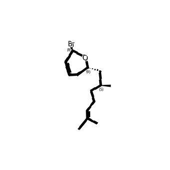 CC(C)=CCC[C@H](C)C[C@@H]1CC=C[C@@H](Br)O1